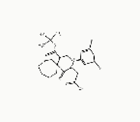 CC(C)(C)OC(=O)N1C[C@@H](C2=CC(F)CC(F)=C2)N(CC(=O)O)C(=O)C12COCCOC2